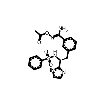 CC(=O)ON=C(N)c1cccc(C[C@H](NS(=O)(=O)c2ccccc2)c2ncc[nH]2)c1